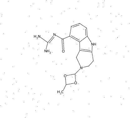 CC1OC(N2CCc3[nH]c4cccc(C(=O)N=C(N)N)c4c3C2)O1